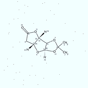 CC1(C)OC2[C@H](O[C@@H]3CC(=O)O[C@H]23)O1